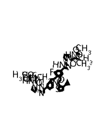 COC(=O)N[C@H](C(=O)N1CCC[C@H]1c1ncc(-c2cc(F)c3c(c2)OC(c2sccc2C2CC2)n2c-3cc3cc(-c4cnc([C@@H]5CCCN5C(=O)[C@@H](NC(=O)OC)C(C)C)[nH]4)ccc32)[nH]1)C(C)C